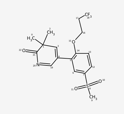 CC1(C)C=C(c2cc(S(C)(=O)=O)ccc2OCCC(F)(F)F)C=NC1=O